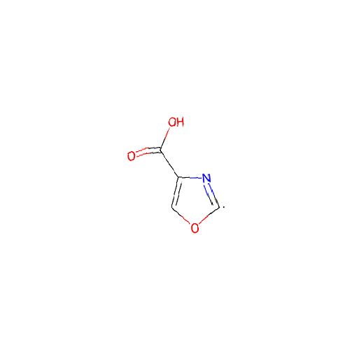 O=C(O)c1co[c]n1